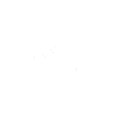 Cn1c(=O)n(C)c2cc(COc3cc(F)cc(C4(O)CCC5(CC4)OCCO5)c3)ccc21